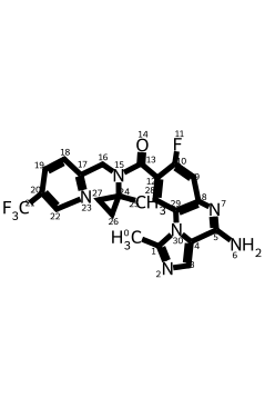 Cc1ncc2c(N)nc3cc(F)c(C(=O)N(Cc4ccc(C(F)(F)F)cn4)C4(C)CC4)cc3n12